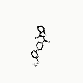 COc1ccnc(N2CCN(C(=O)c3sc4ccccc4c3Cl)CC2)n1